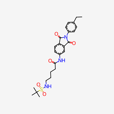 CCc1ccc(N2C(=O)c3ccc(NC(=O)CCCCNS(=O)(=O)C(C)(C)C)cc3C2=O)cc1